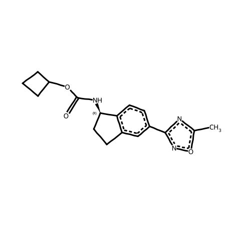 Cc1nc(-c2ccc3c(c2)CC[C@H]3NC(=O)OC2CCC2)no1